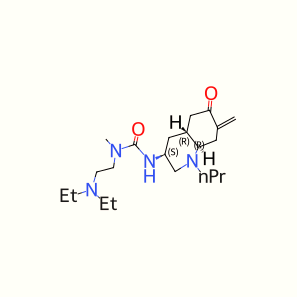 C=C1C[C@@H]2[C@@H](CC1=O)C[C@H](NC(=O)N(C)CCN(CC)CC)CN2CCC